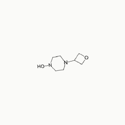 ON1CCN(C2COC2)CC1